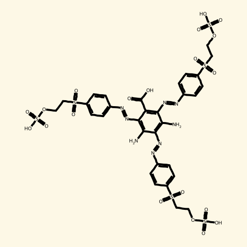 Nc1c(/N=N/c2ccc(S(=O)(=O)CCOS(=O)(=O)O)cc2)c(N)c(/N=N/c2ccc(S(=O)(=O)CCOS(=O)(=O)O)cc2)c(C(=O)O)c1/N=N/c1ccc(S(=O)(=O)CCOS(=O)(=O)O)cc1